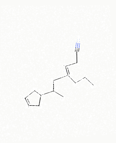 CCC/C(=C\CC#N)CC(C)C1CC=CC1